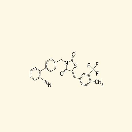 Cc1ccc(/C=C2\SC(=O)N(Cc3ccc(-c4ccccc4C#N)cc3)C2=O)cc1C(F)(F)F